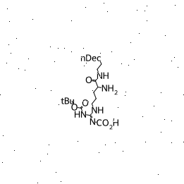 CCCCCCCCCCCCNC(=O)C(N)CCCN/C(=N\C(=O)O)NC(=O)OC(C)(C)C